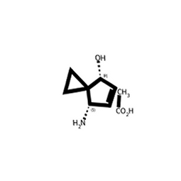 CC(=O)O.N[C@H]1C=C[C@@H](O)C12CC2